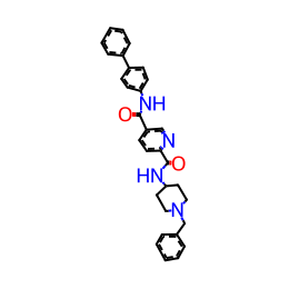 O=C(Nc1ccc(-c2ccccc2)cc1)c1ccc(C(=O)NC2CCN(Cc3ccccc3)CC2)nc1